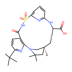 CC(C)(C)c1ccc2c(n1)N1C[C@@H](CCC(C(=O)O)Nc3cccc(n3)S(=O)(=O)NC2=O)CC1(C)C